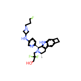 C[C@H]1Cc2c([nH]c3cc4c(cc23)CC4)[C@H](c2ccc(NC3CN(CCCF)C3)cn2)N1CC(F)(F)CO